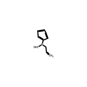 C=CCN(C=O)c1cc[c]cc1